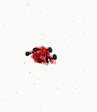 O=P(O)(O)OP(=O)(O)OP(=O)(OCC(CO)OCc1ccccc1)OP(=O)(OCC(CO)OCc1ccccc1)OP(=O)(OCC(CO)OCc1ccccc1)OP(=O)(OCC(CO)OCc1ccccc1)OCC(CO)OCc1ccccc1